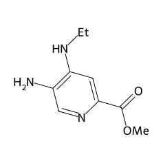 CCNc1cc(C(=O)OC)ncc1N